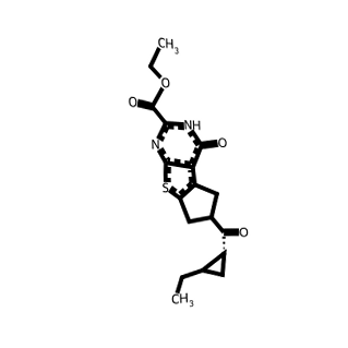 CCOC(=O)c1nc2sc3c(c2c(=O)[nH]1)CC(C(=O)[C@@H]1CC1CC)C3